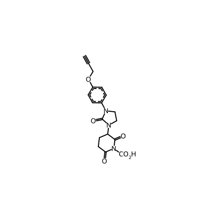 C#CCOc1ccc(N2CCN(C3CCC(=O)N(C(=O)O)C3=O)C2=O)cc1